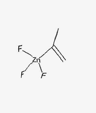 C=[C](C)[Zn]([F])([F])[F]